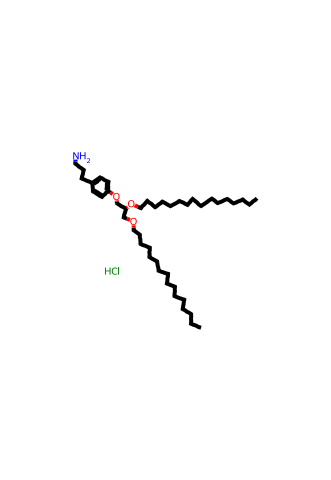 CCCCCCCCCCCCCCCCOCC(COc1ccc(CCCN)cc1)OCCCCCCCCCCCCCCCC.Cl